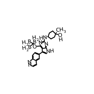 BC(B)(B)Oc1nc(N[C@H]2CC[C@@](C)(O)CC2)nc2[nH]cc(-c3ccc4nnccc4c3)c12